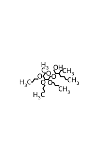 CCCCOC1C(OCCCC)[C@H](OCCCC)C(C)O[C@H]1OC(CO)C(CC)CCCC